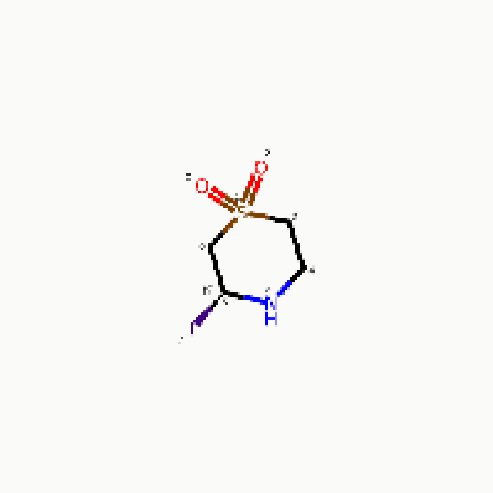 O=S1(=O)CCN[C@@H](I)C1